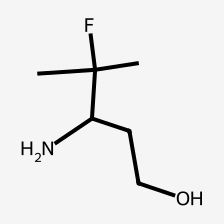 CC(C)(F)C(N)CCO